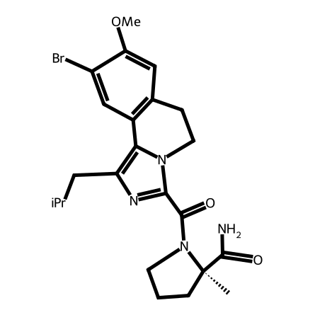 COc1cc2c(cc1Br)-c1c(CC(C)C)nc(C(=O)N3CCC[C@]3(C)C(N)=O)n1CC2